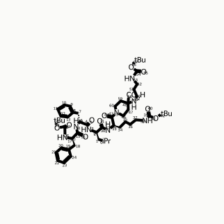 CC(C)C[C@@H](NC(=O)[C@@H](Cc1ccccc1)NC(=O)[C@@H](Cc1ccccc1)NC(=O)OC(C)(C)C)C(=O)N[C@H](CCCCNC(=O)OC(C)(C)C)C(=O)N1CCC(NCCCNC(=O)OC(C)(C)C)(C(=O)O)CC1